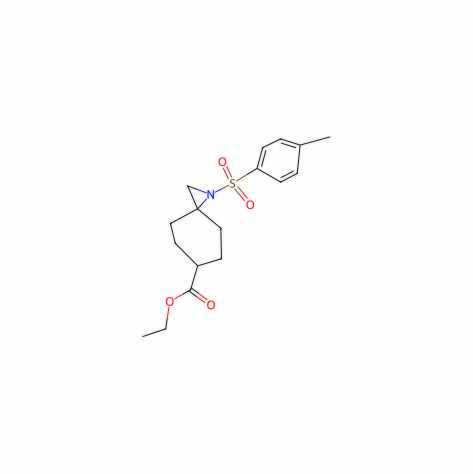 CCOC(=O)C1CCC2(CC1)CN2S(=O)(=O)c1ccc(C)cc1